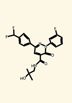 CC(C)(O)CNC(=O)c1cc(-c2ccc(C(F)F)cc2)nn(-c2cccc(F)c2)c1=O